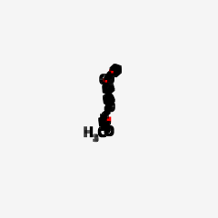 CC(=O)N1CCN(CCCOc2ccc(C3=CCN(C(=O)OCc4ccccc4)CC3)cc2)CC1